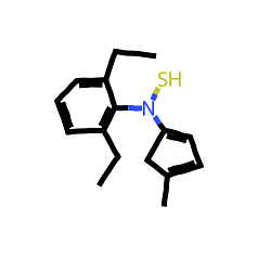 CCc1cccc(CC)c1N(S)C1=CC=C(C)C1